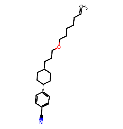 C=CCCCCCOCCC[C@H]1CC[C@H](c2ccc(C#N)cc2)CC1